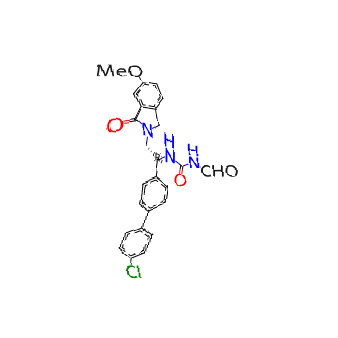 COc1ccc2c(c1)C(=O)N(C[C@H](NC(=O)NC=O)c1ccc(-c3ccc(Cl)cc3)cc1)C2